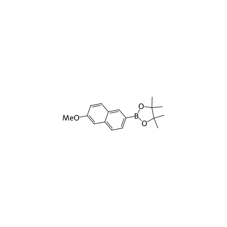 COc1ccc2cc(B3OC(C)(C)C(C)(C)O3)ccc2c1